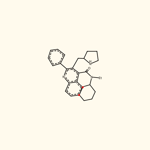 CCN(C(=O)c1c(CC2CCCN2)c(-c2ccccc2)nc2ccccc12)C1CCCCC1